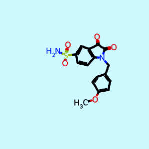 COc1ccc(CN2C(=O)C(=O)c3cc(S(N)(=O)=O)ccc32)cc1